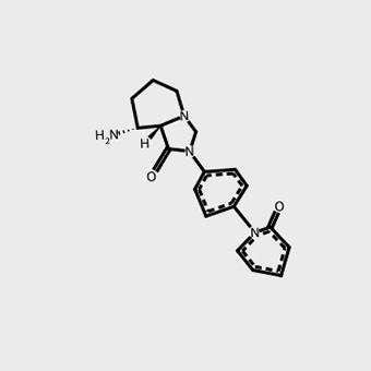 N[C@@H]1CCCN2CN(c3ccc(-n4ccccc4=O)cc3)C(=O)[C@H]12